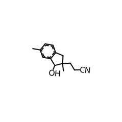 Cc1ccc2c(c1)C(O)C(C)(CCC#N)C2